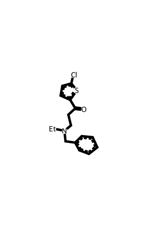 CCN(CCC(=O)c1ccc(Cl)s1)Cc1ccccc1